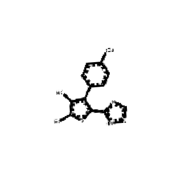 CCc1sc(-c2ncn[nH]2)c(-c2ccc(C(C)(C)C)cc2)c1C#N